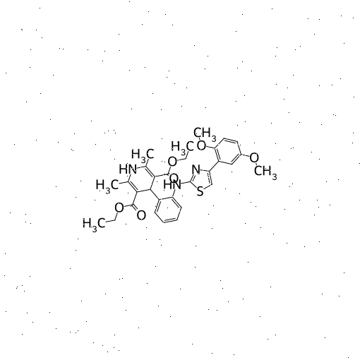 CCOC(=O)C1=C(C)NC(C)=C(C(=O)OCC)C1c1ccccc1Nc1nc(-c2cc(OC)ccc2OC)cs1